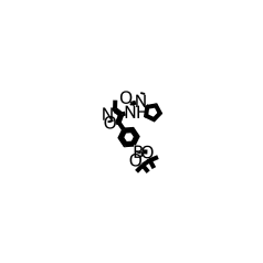 Cc1noc(-c2ccc(B3OC(C)(C)C(C)(C)O3)cc2)c1NC(=O)N(C)C1CCCC1